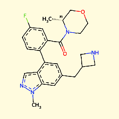 C[C@@H]1COCCN1C(=O)c1cc(F)ccc1-c1cc(CC2CNC2)cc2c1cnn2C